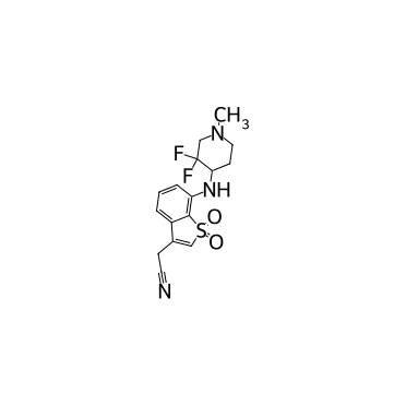 CN1CCC(Nc2cccc3c2S(=O)(=O)C=C3CC#N)C(F)(F)C1